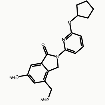 CNCc1cc(OC)cc2c1CN(c1cccc(OC3CCCC3)n1)C2=O